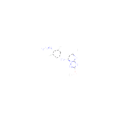 CCOc1nc2nc(C)cc(Nc3cc(F)c(N=[N+]=[N-])c(F)c3)n2n1